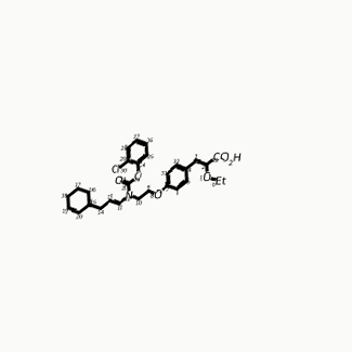 CCOC(Cc1ccc(OCCN(CCCC2CCCCC2)C(=O)Oc2ccccc2Cl)cc1)C(=O)O